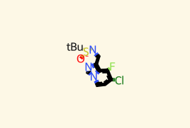 CC(C)(C)[S+]([O-])/N=C\c1ncn2ccc(Cl)c(F)c12